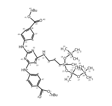 CCCCOC(=O)c1ccc(Nc2nc(NCCC[Si](C)(O[Si](C)(C)C)O[Si](C)(C)O[Si](C)(C)C)nc(Nc3ccc(C(=O)OCCCC)cc3)n2)cc1